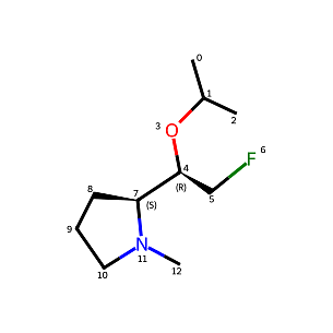 CC(C)O[C@@H](CF)[C@@H]1CCCN1C